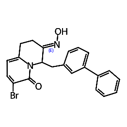 O=c1c(Br)ccc2n1C(Cc1cccc(-c3ccccc3)c1)/C(=N/O)CC2